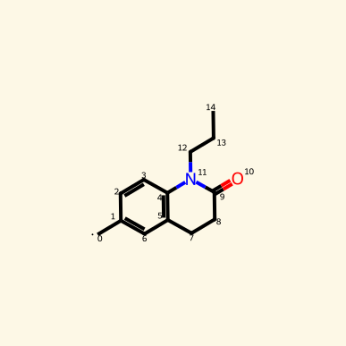 [CH2]c1ccc2c(c1)CCC(=O)N2CCC